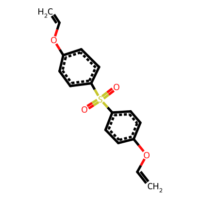 C=COc1ccc(S(=O)(=O)c2ccc(OC=C)cc2)cc1